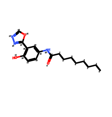 CCCCCCCCC(=O)Nc1ccc(O)c(-c2nnco2)c1